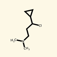 CN(C)CCC(Cl)C1CC1